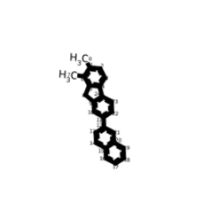 Cc1ccc2c(c1C)Cc1cc(-c3ccc4ccccc4c3)ccc1-2